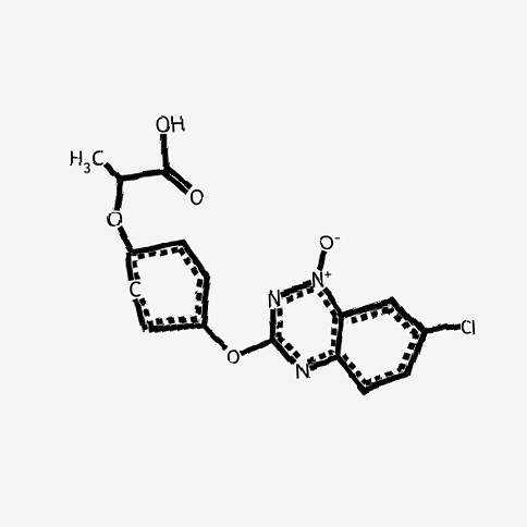 CC(Oc1ccc(Oc2nc3ccc(Cl)cc3[n+]([O-])n2)cc1)C(=O)O